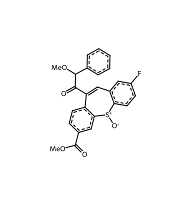 COC(=O)c1ccc2c(c1)[S+]([O-])c1ccc(F)cc1C=C2C(=O)C(OC)c1ccccc1